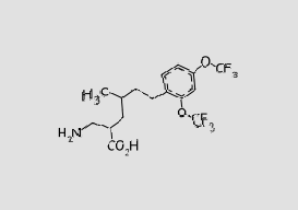 CC(CCc1ccc(OC(F)(F)F)cc1OC(F)(F)F)CC(CN)C(=O)O